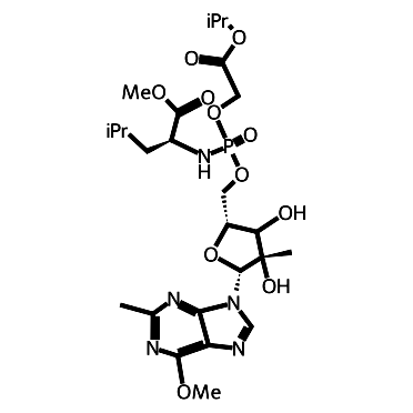 COC(=O)[C@H](CC(C)C)NP(=O)(OCC(=O)OC(C)C)OC[C@H]1O[C@@H](n2cnc3c(OC)nc(C)nc32)[C@@](C)(O)C1O